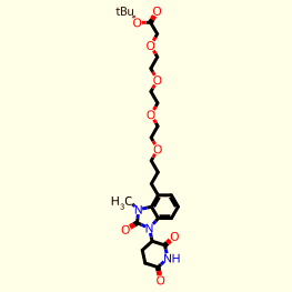 Cn1c(=O)n(C2CCC(=O)NC2=O)c2cccc(CCCOCCOCCOCCOCC(=O)OC(C)(C)C)c21